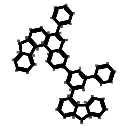 c1ccc(-c2nc(-c3ccc4c(c3)nc(-c3ccccc3)c3ccc5oc6ccccc6c5c34)cc(-c3cccc4sc5ccccc5c34)n2)cc1